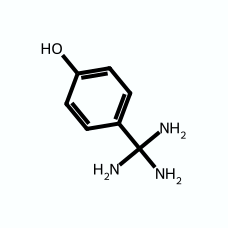 NC(N)(N)c1ccc(O)cc1